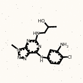 CC(O)CNc1nc(Nc2ccc(Cl)c(N)c2)c2nnn(C)c2n1